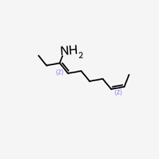 C/C=C\CCC/C=C(\N)CC